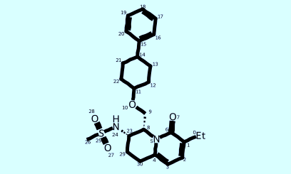 CCc1ccc2n(c1=O)[C@@H](COC1CCC(c3ccccc3)CC1)[C@@H](NS(C)(=O)=O)CC2